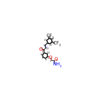 NC(=O)COc1cccc(C(=O)/C=C/c2cc(C(F)(F)F)cc(C(F)(F)F)c2)c1